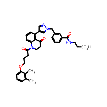 Cc1cccc(OCCCC(=O)N2CCC(=O)c3c(-c4cnn(Cc5cccc(C(=O)NCCS(=O)(=O)O)c5)c4)cccc32)c1C